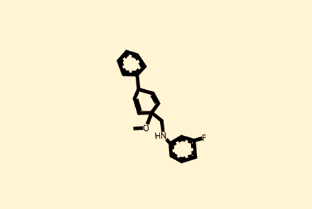 COC1(CNc2cccc(F)c2)C=CC(c2ccccc2)C=C1